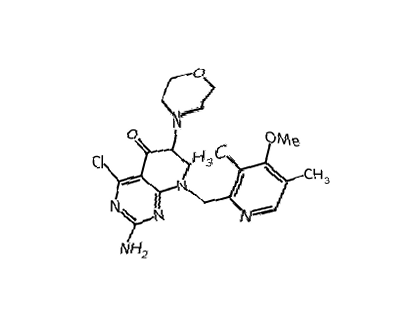 COc1c(C)cnc(CN2CC(N3CCOCC3)C(=O)c3c(Cl)nc(N)nc32)c1C